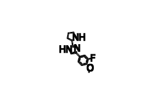 COc1ccc(-c2c[nH]c(C3CCCN3)n2)cc1F